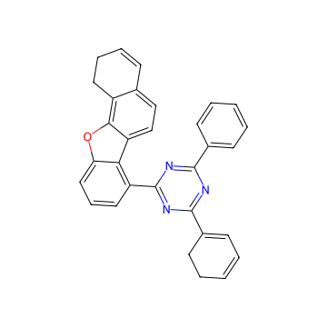 C1=CCCC(c2nc(-c3ccccc3)nc(-c3cccc4oc5c6c(ccc5c34)C=CCC6)n2)=C1